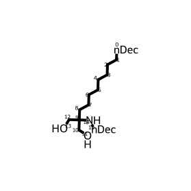 CCCCCCCCCCCCCCCCCCC(CO)(CO)NCCCCCCCCCC